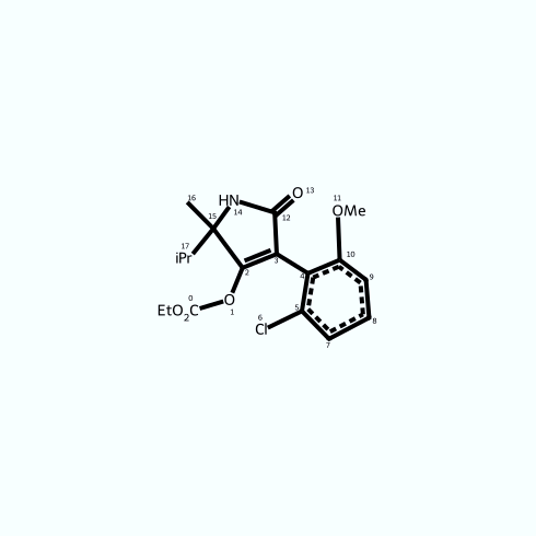 CCOC(=O)OC1=C(c2c(Cl)cccc2OC)C(=O)NC1(C)C(C)C